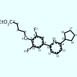 CCOC(=O)CCCOc1c(F)cc(-c2cccc(C3CCCC3)n2)cc1F